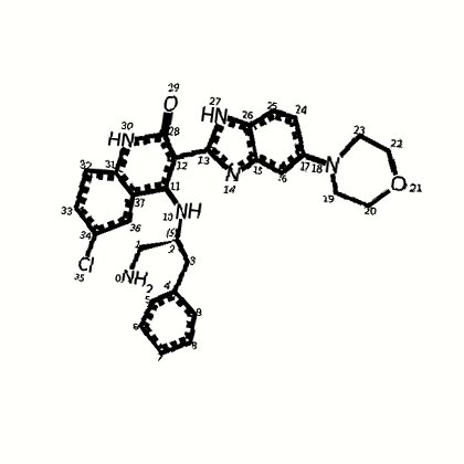 NC[C@H](Cc1ccccc1)Nc1c(-c2nc3cc(N4CCOCC4)ccc3[nH]2)c(=O)[nH]c2ccc(Cl)cc12